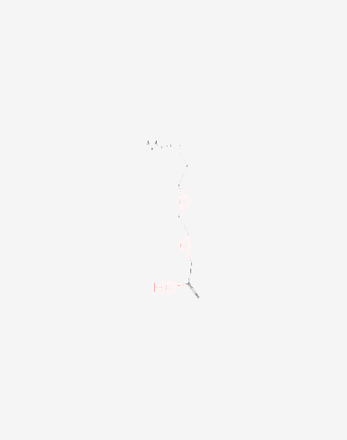 C=C(O)COCCOCCOC